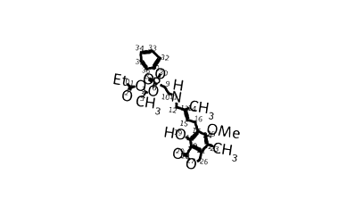 CCC(=O)O[C@H](C)OP(=O)(CCNC/C(C)=C/Cc1c(O)c2c(c(C)c1OC)COC2=O)Oc1ccccc1